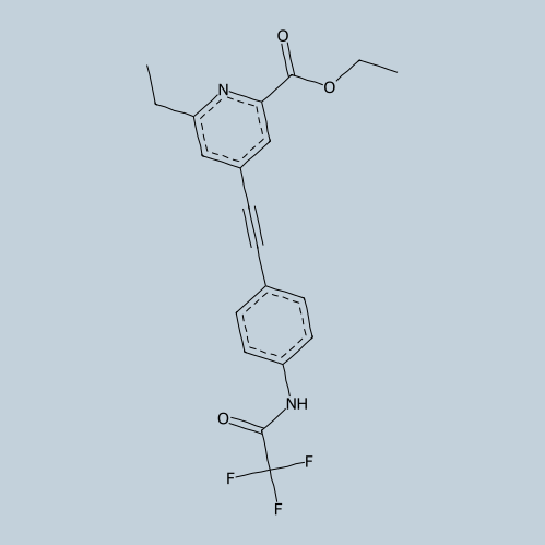 CCOC(=O)c1cc(C#Cc2ccc(NC(=O)C(F)(F)F)cc2)cc(CC)n1